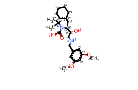 COc1cc(CNC[C@@H](O)[C@H](CC2CCCCC2)N(C(=O)O)C(C)(C)C)cc(OC)c1